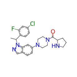 CC(c1ccc(Cl)cc1F)n1ncc2ccc(N3CCN(C(=O)C4CCCN4)CC3)cc21